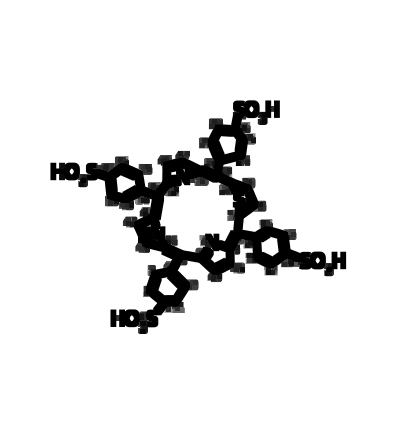 O=S(=O)(O)c1ccc(-c2c3nc(c(-c4ccc(S(=O)(=O)O)cc4)c4ccc(s4)c(-c4ccc(S(=O)(=O)O)cc4)c4nc(c(-c5ccc(S(=O)(=O)O)cc5)c5ccc2[nH]5)C=C4)C=C3)cc1